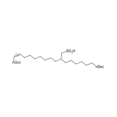 CCCCCCCC/C=C\CCCCCCCC(CCCCCCCCCCCCCCCC)CS(=O)(=O)O